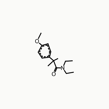 CCN(CC)C(=O)C(C)(C)c1ccc(OC)cc1